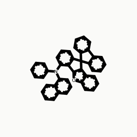 c1ccc(N(c2cccc3c2-c2oc4ccccc4c2C32c3ccccc3-c3ccccc32)c2cccc3ccccc23)cc1